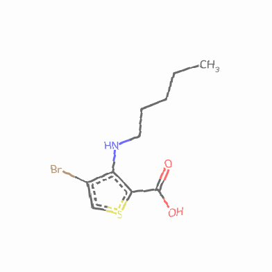 CCCCCNc1c(Br)csc1C(=O)O